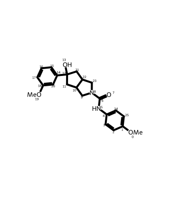 COc1ccc(NC(=O)N2CC3CC(O)(c4cccc(OC)c4)CC3C2)cc1